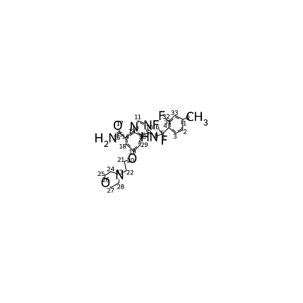 Cc1ccc(C(F)(F)Nc2ncnc3c(C(N)=O)cc(OCCN4CCOCC4)cc23)c(F)c1